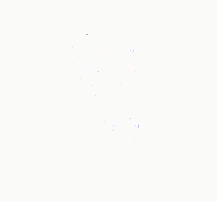 CNS(=O)(=O)c1cc(-c2sc(NC(C)=O)nc2Cl)cc2c1C(=O)N(C(C)C1CC1)C2